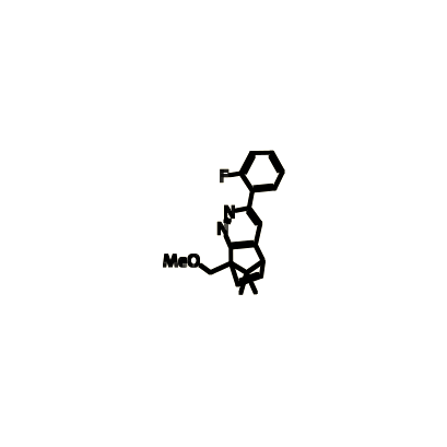 COCC12C=CC(c3cc(-c4ccccc4F)nnc31)C2(C)C